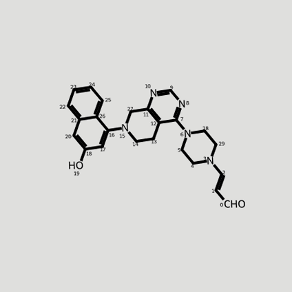 O=CC=CN1CCN(c2ncnc3c2CCN(c2cc(O)cc4ccccc24)C3)CC1